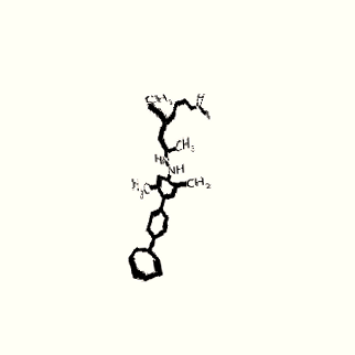 C=C1C=C(C2=CCC(C3C=CC=C=CC3)C=C2)C(C)=CC1NN/C(C)=C/C(CC)C/C=C\CNI